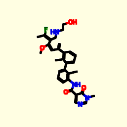 C=C(/C=C(OC)\C(CNCCO)=C(/C)F)c1cccc(-c2cccc(NC(=O)c3cncn(C)c3=O)c2C)c1C